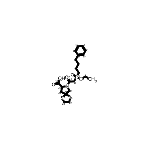 CCOP(=O)(CCCCc1ccccc1)CC(=O)N1CC2(CC1C(=O)O)SCCS2